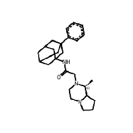 C[C@H]1C2CCCN2CCN1CC(=O)NC12CC3CC(C1)CC(c1ccccc1)(C3)C2